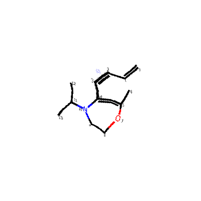 C=C/C=C\C1=C(C)OCCN1C(C)C